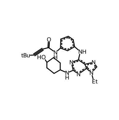 CCn1cnc2c(Nc3cccc(NC(=O)C#CC(C)(C)C)c3)nc(NC3CCC(O)CC3)nc21